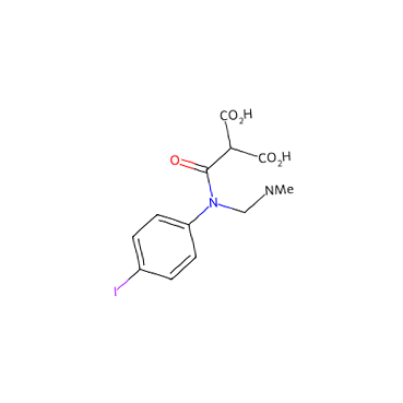 CNCN(C(=O)C(C(=O)O)C(=O)O)c1ccc(I)cc1